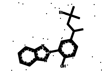 CCC(C)(C)CC(C)c1ccc(O)c(-n2nc3ccccc3n2)c1